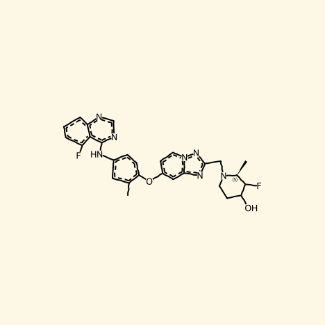 Cc1cc(Nc2ncnc3cccc(F)c23)ccc1Oc1ccn2nc(CN3CCC(O)C(F)[C@@H]3C)nc2c1